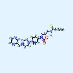 CNC(=S)NCC1CN(c2ccc(N3CCN(Cc4cnccn4)CC3)nc2)C(=O)O1